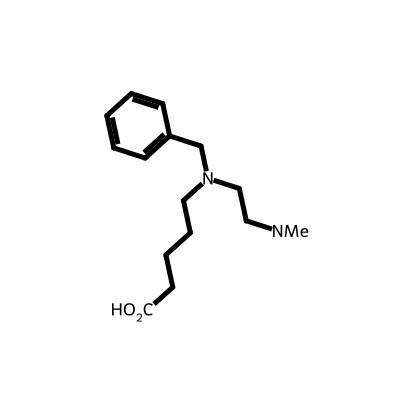 CNCCN(CCCCC(=O)O)Cc1ccccc1